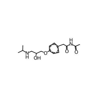 CC(=O)NC(=O)Cc1ccc(OCC(O)CNC(C)C)cc1